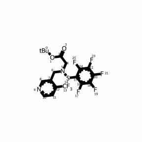 CC(C)(C)OC(=O)CN(Cc1cnccc1C(F)(F)F)Sc1c(F)c(F)c(F)c(F)c1F